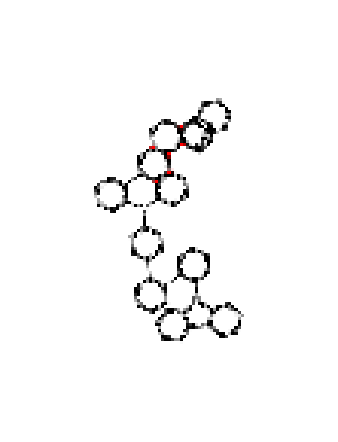 c1ccc(-c2ccc(-c3ccccc3N(c3ccc(-c4ccccc4-c4ccccc4-n4c5ccccc5c5ccccc54)cc3)c3cccc(-c4cccc5c4oc4ccccc45)c3)cc2)cc1